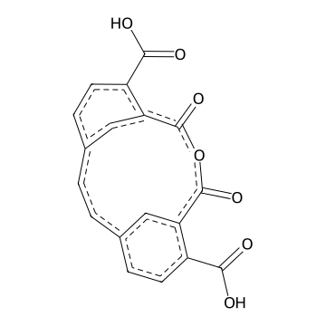 O=C(O)c1ccc2ccc3ccc(C(=O)O)c(c3)c(=O)oc(=O)c1c2